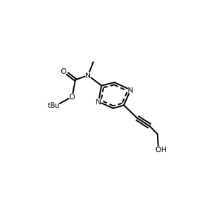 CN(C(=O)OC(C)(C)C)c1cnc(C#CCO)cn1